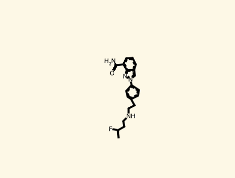 CC(F)CCNCCc1ccc(-n2cc3cccc(C(N)=O)c3n2)cc1